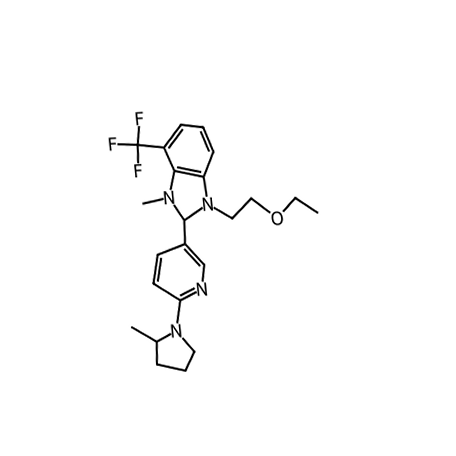 CCOCCN1c2cccc(C(F)(F)F)c2N(C)C1c1ccc(N2CCCC2C)nc1